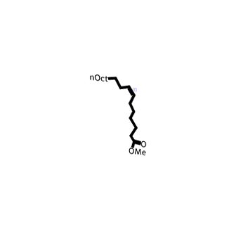 CCCCCCCCCC/C=C\CCCCCC(=O)OC